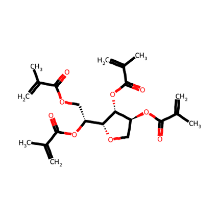 C=C(C)C(=O)OC[C@@H](OC(=O)C(=C)C)[C@H]1OC[C@H](OC(=O)C(=C)C)[C@H]1OC(=O)C(=C)C